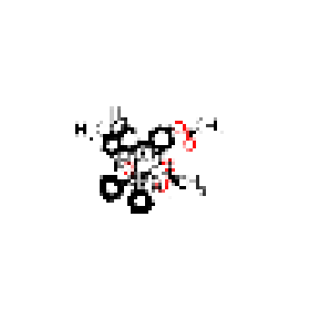 C=C1CC[C@H]2[C@H](CO[Si](c3ccccc3)(c3ccccc3)C(C)(C)C)[C@@H]([C@@]3(C)CC[C@H](OC(C)=O)C[C@@H]3COC(C)=O)CC[C@]12C